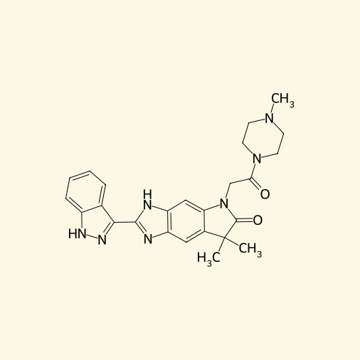 CN1CCN(C(=O)CN2C(=O)C(C)(C)c3cc4nc(-c5n[nH]c6ccccc56)[nH]c4cc32)CC1